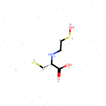 O=C(O)[C@H](CS)NCCSO